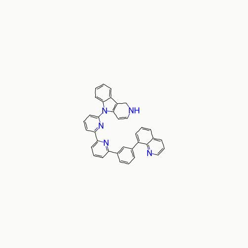 C1=Cc2c(c3ccccc3n2-c2cccc(-c3cccc(-c4cccc(-c5cccc6cccnc56)c4)n3)n2)CN1